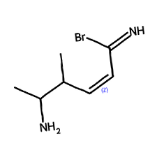 CC(N)C(C)/C=C\C(=N)Br